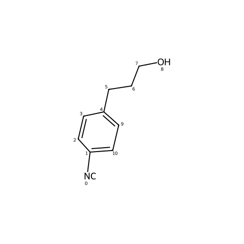 [C-]#[N+]c1ccc(CCCO)cc1